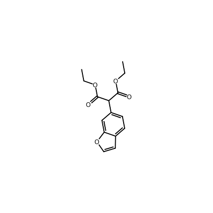 CCOC(=O)C(C(=O)OCC)c1ccc2ccoc2c1